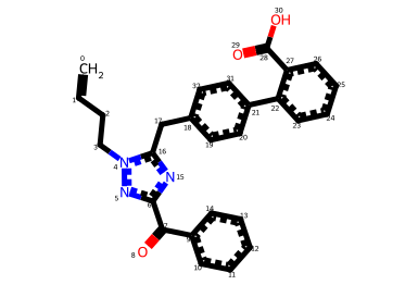 C=CCCn1nc(C(=O)c2ccccc2)nc1Cc1ccc(-c2ccccc2C(=O)O)cc1